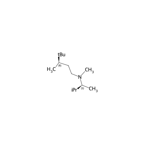 CC(C)[C@H](C)N(C)CC[C@@H](C)C(C)(C)C